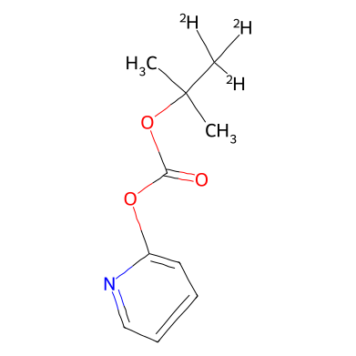 [2H]C([2H])([2H])C(C)(C)OC(=O)Oc1ccccn1